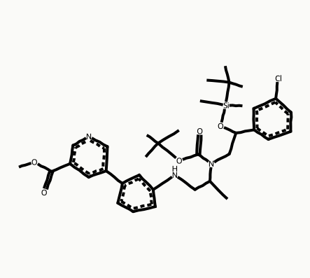 COC(=O)c1cncc(-c2cccc(NCC(C)N(CC(O[Si](C)(C)C(C)(C)C)c3cccc(Cl)c3)C(=O)OC(C)(C)C)c2)c1